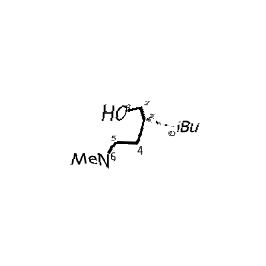 CC[C@@H](C)C(CO)CCNC